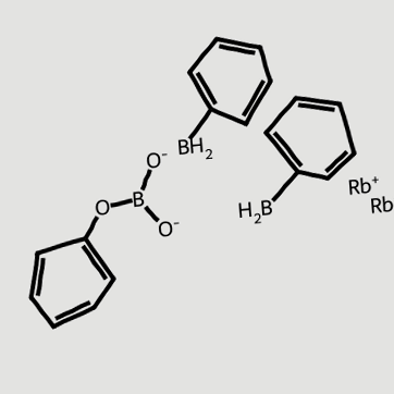 Bc1ccccc1.Bc1ccccc1.[O-]B([O-])Oc1ccccc1.[Rb+].[Rb+]